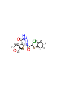 NC(=O)c1c(NC(=O)CSc2ccccc2Cl)sc2c1CCOC2